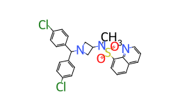 CN(C1CN(C(c2ccc(Cl)cc2)c2ccc(Cl)cc2)C1)S(=O)(=O)c1cccc2cccnc12